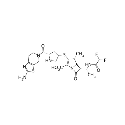 C[C@H]1C(S[C@@H]2CN[C@H](C(=O)N3CCc4nc(N)sc4C3)C2)=C(C(=O)O)N2C(=O)[C@H]([C@@H](C)NC(=O)C(F)F)C12